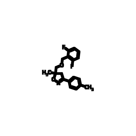 Cc1ccc(C2=NOC(C)(COCc3c(F)cccc3F)C2)cc1